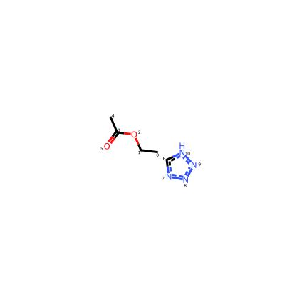 CCOC(C)=O.c1nnn[nH]1